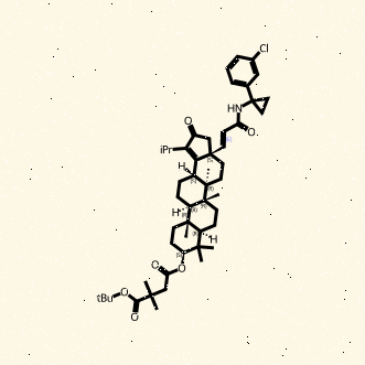 CC(C)C1=C2[C@H]3CC[C@@H]4[C@@]5(C)CC[C@H](OC(=O)CC(C)(C)C(=O)OC(C)(C)C)C(C)(C)[C@@H]5CC[C@@]4(C)[C@]3(C)CC[C@@]2(/C=C/C(=O)NC2(c3cccc(Cl)c3)CC2)CC1=O